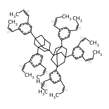 C/C=C\c1cc(/C=C\C)cc(C23CC4CC(c5cc(/C=C\C)cc(/C=C\C)c5)(C2)CC(C25CC6(c7cc(/C=C\C)cc(/C=C\C)c7)CC(c7cc(/C=C\C)cc(/C=C\C)c7)(CC(c7cc(/C=C\C)cc(/C=C\C)c7)(C6)C2)C5)(C4)C3)c1